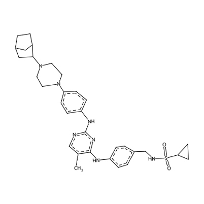 Cc1cnc(Nc2ccc(N3CCN(C4CC5CCC4C5)CC3)cc2)nc1Nc1ccc(CNS(=O)(=O)C2CC2)cc1